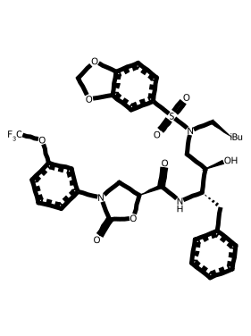 CC[C@H](C)CN(C[C@@H](O)[C@H](Cc1ccccc1)NC(=O)[C@@H]1CN(c2cccc(OC(F)(F)F)c2)C(=O)O1)S(=O)(=O)c1ccc2c(c1)OCO2